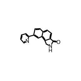 O=C1NCc2c1ccc1ccc(-c3ccccn3)cc21